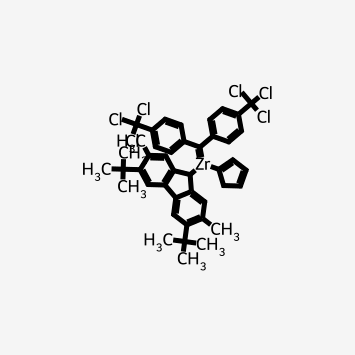 Cc1cc2c(cc1C(C)(C)C)-c1cc(C(C)(C)C)c(C)cc1[CH]2[Zr]([C]1=CC=CC1)=[C](c1ccc(C(Cl)(Cl)Cl)cc1)c1ccc(C(Cl)(Cl)Cl)cc1